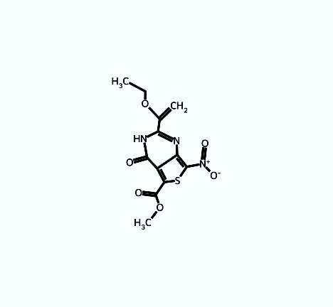 C=C(OCC)c1nc2c([N+](=O)[O-])sc(C(=O)OC)c2c(=O)[nH]1